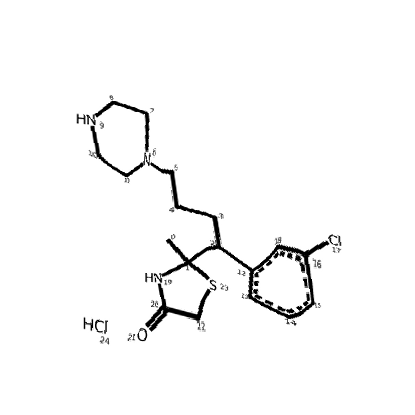 CC1(C(CCCN2CCNCC2)c2cccc(Cl)c2)NC(=O)CS1.Cl